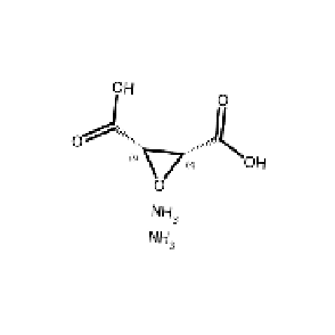 N.N.O=C(O)[C@H]1O[C@H]1C(=O)O